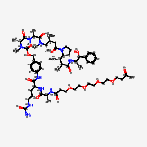 CC[C@@H](C)[C@H]([C@H](CC(=O)N1CCC[C@@H]1[C@@H](OC)[C@H](C)C(=O)N[C@@H](C)[C@H](O)c1ccccc1)OC)N(C)C(=O)C(NC(=O)[C@@H](C(C)C)N(C)C(=O)OCc1ccc(NC(=O)[C@H](CCCNC(N)=O)NC(=O)[C@@H](NC(=O)CCOCCOCCOCCOCCC(=O)C(C)C)C(C)C)cc1)C(C)C